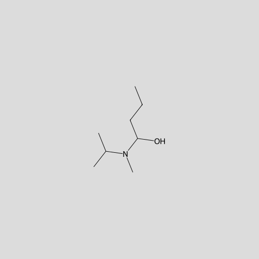 CCCC(O)N(C)C(C)C